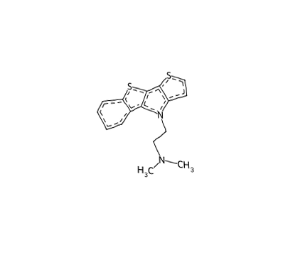 CN(C)CCn1c2ccsc2c2sc3ccccc3c21